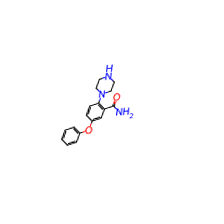 NC(=O)c1cc(Oc2ccccc2)ccc1N1CCNCC1